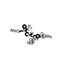 COCCCn1c(C2CCCN(C(=O)C[C@@H](Cc3ccc(NC(=O)OC)cc3)NC(=O)OC(C)(C)C)C2)c(C)c2ccccc21